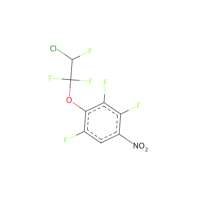 O=[N+]([O-])c1cc(F)c(OC(F)(F)C(F)Cl)c(F)c1F